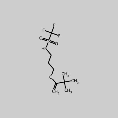 C=C(OCCCNS(=O)(=O)C(F)(F)F)C(C)(C)C